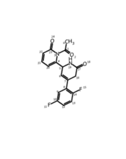 CC(=O)n1c(C2C=C(c3cc(F)ccc3F)CC(=O)N2)cccc1=O